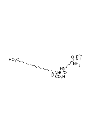 CCCNC(=O)[C@@H](N)CCCCNC(=O)CC[C@H](NC(=O)CCCCCCCCCCCCCCCCC(=O)O)C(=O)O